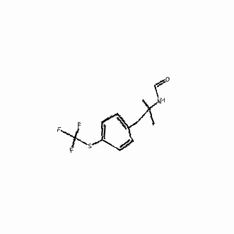 CC(C)(NC=O)c1ccc(SC(F)(F)F)cc1